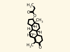 CCC(=O)O[C@H]1CC[C@H]2[C@@H]3CCC4=C(C)C(=O)CC[C@]4(CO)[C@H]3CC[C@]12C